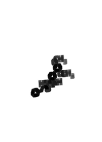 COc1ccc(OC)c(-c2ccc3c(NC(=O)CCc4ccccc4)n[nH]c3c2)c1